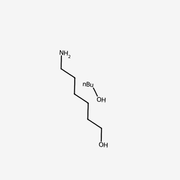 CCCCO.NCCCCCCO